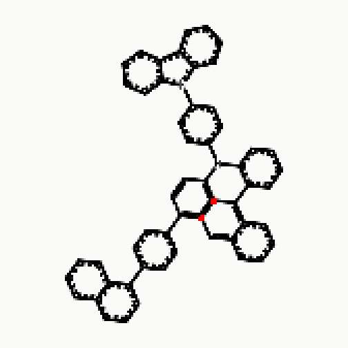 C1=C=C(N(c2ccc(-n3c4ccccc4c4ccccc43)cc2)c2ccccc2C2=c3ccccc3=CCC2)C=CC=1c1ccc(-c2cccc3ccccc23)cc1